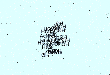 COC(CO)C(OC1OC(CO)C(O)C(OC2OC(CO)C(OC3OC(C)C(O)C(O)C3O)C(OC3OC(CO)C(O)C(O)C3OC3OC(C)C(O)C(O)C3O)C2NC(C)=O)C1O)C(O)C(O)CCCO